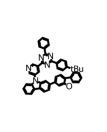 CC(C)(C)c1ccc(-c2nc(-c3ccccc3)nc(-c3cncc(-n4c5ccccc5c5ccc(-c6ccc7c(c6)oc6ccccc67)cc54)c3)n2)cc1